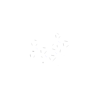 Cc1cc2c3c(c1)-n1c(C(C)C)cc4c(N(c5ccccc5)c5ccccc5)ccc(c41)B3c1ccc(N(c3ccccc3)c3ccccc3)c3cc(C(C)C)n-2c13